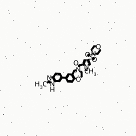 Cc1nc2ccc(-c3ccc4c(c3)CN(C(=O)c3cc(S(=O)(=O)N5CCOCC5)cn3C)CCO4)cc2[nH]1